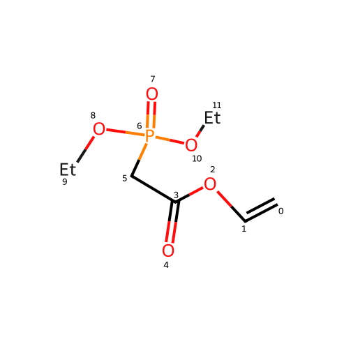 C=COC(=O)CP(=O)(OCC)OCC